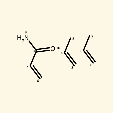 C=CC.C=CC.C=CC(N)=O